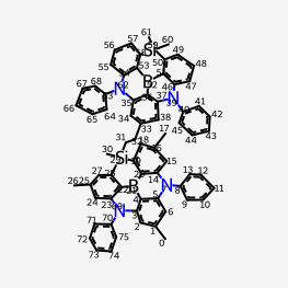 Cc1cc2c3c(c1)N(c1ccccc1)c1cc(C)cc4c1B3c1c(cc(C)cc1[Si]4(C)CCc1cc3c4c(c1)N(c1ccccc1)c1cccc5c1B4c1c(cccc1[Si]5(C)C)N3c1ccccc1)N2c1ccccc1